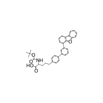 CC(C)(C)OC(=O)NC(CCCc1ccc(-c2cccc(-c3cccc4c3oc3ccccc34)c2)cc1)C(=O)O